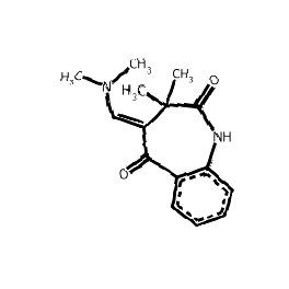 CN(C)/C=C1/C(=O)c2ccccc2NC(=O)C1(C)C